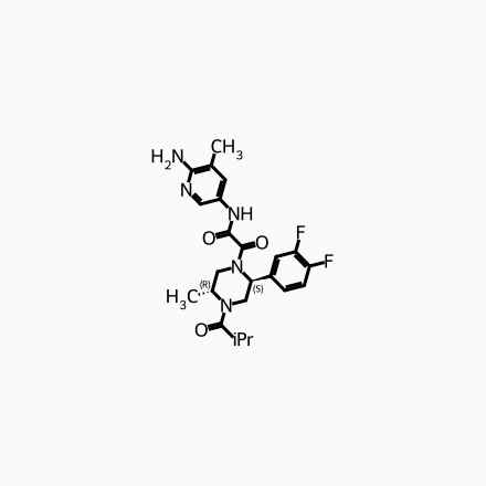 Cc1cc(NC(=O)C(=O)N2C[C@@H](C)N(C(=O)C(C)C)C[C@@H]2c2ccc(F)c(F)c2)cnc1N